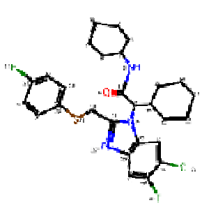 O=C(NC1CCCCC1)C(C1CCCCC1)n1c(CSc2ccc(F)cc2)nc2cc(F)c(Cl)cc21